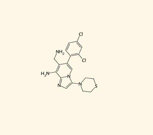 NCc1c(-c2ccc(Cl)cc2Cl)cn2c(N3CCSCC3)cnc2c1N